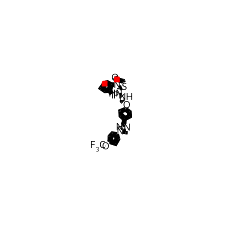 CC(C)c1ccccc1N1C(=O)CSC1NNCOC1CC=C(c2ncn(-c3ccc(OC(F)(F)F)cc3)n2)CC1